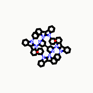 c1ccc(-n2c3ccccc3c3c4ccccc4n(-c4cc(-c5cc(-n6c7ccccc7c7c8ccccc8n(-c8ccccc8)c76)nc(-n6c7ccccc7c7c8ccccc8n(-c8ccccc8)c76)c5)cc(-n5c6ccccc6c6c7ccccc7n(-c7ccccc7)c65)n4)c32)cc1